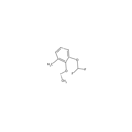 [CH2]c1cccc(OC(F)F)c1OCC